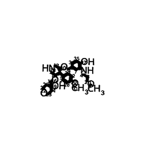 COCCCNc1cc(CO[C@H]2CNC[C@@H](OCC3(O)CCOCC3)C2c2ccc(OC)cc2)ccc1O